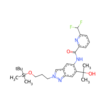 CC(C)(O)c1cc2nn(CCCO[Si](C)(C)C(C)(C)C)cc2cc1NC(=O)c1cccc(C(F)F)n1